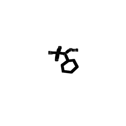 CCCC(C)N(C1CCCCC1)S(=O)(=O)CC